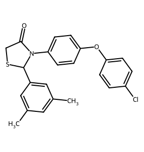 Cc1cc(C)cc(C2SCC(=O)N2c2ccc(Oc3ccc(Cl)cc3)cc2)c1